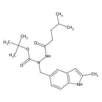 Cc1cc2cc(CN(NC(=O)CCC(C)C)C(=O)OC(C)(C)C)ccc2[nH]1